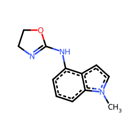 Cn1ccc2c(NC3=NCCO3)cccc21